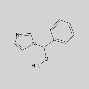 COC(c1ccccc1)n1ccnc1